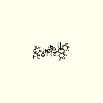 O=C(C[N+]12CCC(CC1)[C@@H](OC(=O)C(Nc1ccccc1)c1ccccc1)C2)c1ccccc1O